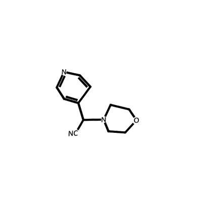 N#CC(c1ccncc1)N1CCOCC1